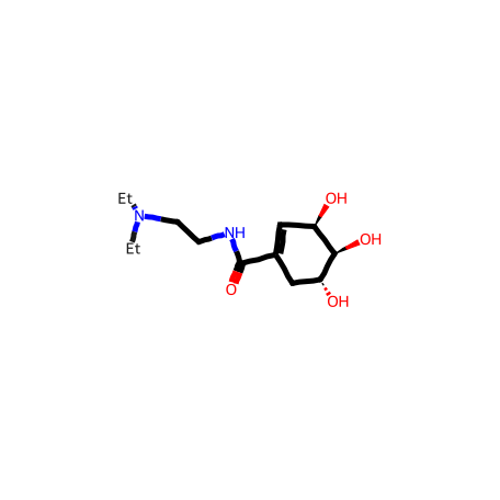 CCN(CC)CCNC(=O)C1=C[C@@H](O)[C@@H](O)[C@H](O)C1